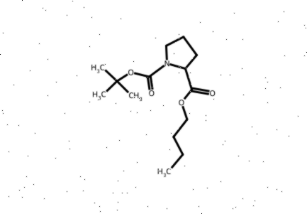 CCCCOC(=O)C1CCCN1C(=O)OC(C)(C)C